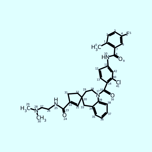 Cc1ccc(F)cc1C(=O)Nc1ccc(C(=O)N2CCC3(C=C(C(=O)NCCN(C)C)CC3)Cc3ccccc32)c(Cl)c1